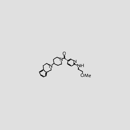 COCCNc1ccc(C(=O)N2CCC(N3CCc4ccccc4C3)CC2)cn1